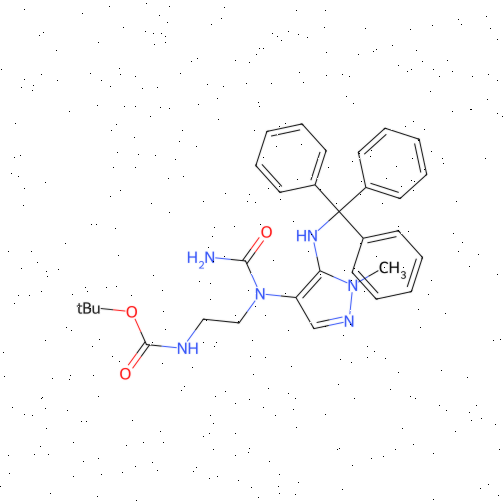 Cn1ncc(N(CCNC(=O)OC(C)(C)C)C(N)=O)c1NC(c1ccccc1)(c1ccccc1)c1ccccc1